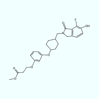 COC(=O)CCOc1cccc(OC2CCC(CN3Cc4ccc(O)c(F)c4C3=O)CC2)c1